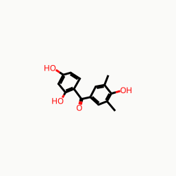 Cc1cc(C(=O)c2ccc(O)cc2O)cc(C)c1O